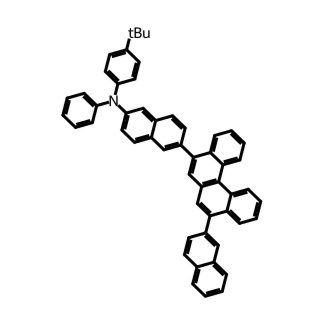 CC(C)(C)c1ccc(N(c2ccccc2)c2ccc3cc(-c4cc5cc(-c6ccc7ccccc7c6)c6ccccc6c5c5ccccc45)ccc3c2)cc1